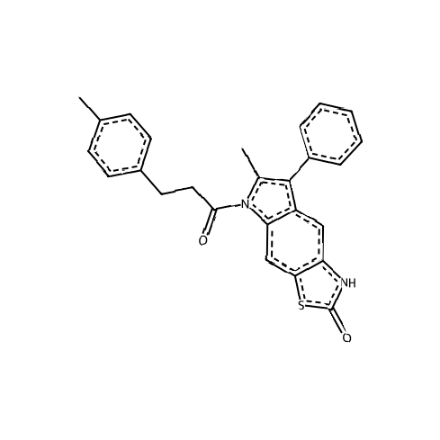 Cc1ccc(CCC(=O)n2c(C)c(-c3ccccc3)c3cc4[nH]c(=O)sc4cc32)cc1